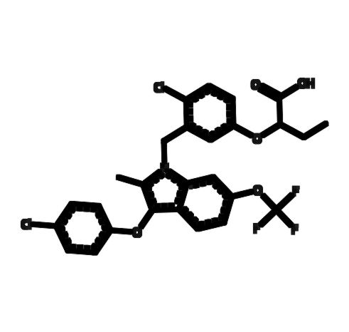 CCC(Oc1ccc(Cl)c(Cn2c(C)c(Oc3ccc(Cl)cc3)c3ccc(OC(F)(F)F)cc32)c1)C(=O)O